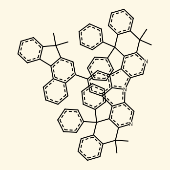 CC1(C)c2ccccc2-c2c1cc(-c1cc3c4c5c(ncc4n4c6cnc7c(c6c(c1)c34)C(c1ccccc1)(c1ccccc1)c1ccccc1C7(C)C)C(C)(C)c1ccccc1C5(c1ccccc1)c1ccccc1)c1ccccc21